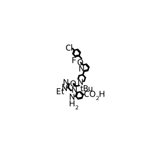 CCn1cncc1CN(C(=O)CN1CCC(c2cccc(OCc3ccc(Cl)cc3F)n2)CC1)c1c(N)ccc(C(=O)O)c1C(C)(C)C